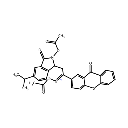 CC(=O)O/N=C(\CC1c2ccc(C(C)C)cc2C(=O)N1OC(C)=O)c1ccc2sc3ccccc3c(=O)c2c1